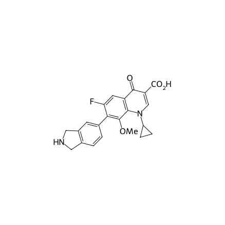 COc1c(-c2ccc3c(c2)CNC3)c(F)cc2c(=O)c(C(=O)O)cn(C3CC3)c12